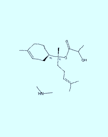 CC(C)=CCC[C@@](C)(OC(=O)C(C)O)[C@H]1CC=C(C)CC1.CNC